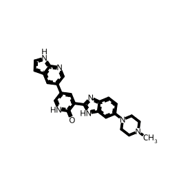 CN1CCN(c2ccc3nc(-c4cc(-c5cnc6[nH]ccc6c5)c[nH]c4=O)[nH]c3c2)CC1